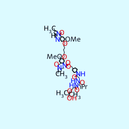 COc1cc2c(cc1OCCCCCOc1cc3c(cc1OC)C(=O)N1C=C(C)CC1CN3C(=O)OCc1ccc(NC(=O)CNC(=O)C(NC(=O)CCOC(C)(C)CO)C(C)C)cc1)N=C[C@@H]1CC(C)=CN1C2=O